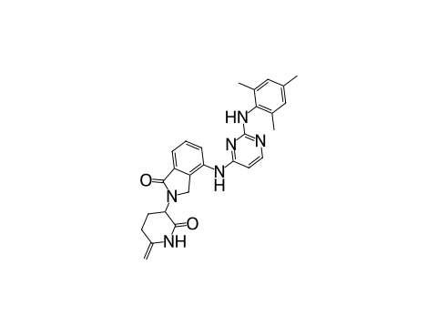 C=C1CCC(N2Cc3c(Nc4ccnc(Nc5c(C)cc(C)cc5C)n4)cccc3C2=O)C(=O)N1